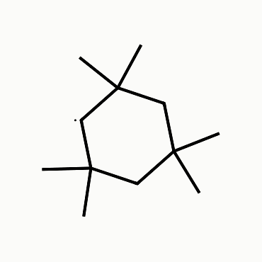 CC1(C)[CH]C(C)(C)CC(C)(C)C1